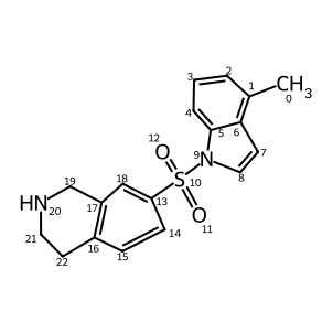 Cc1cccc2c1ccn2S(=O)(=O)c1ccc2c(c1)CNCC2